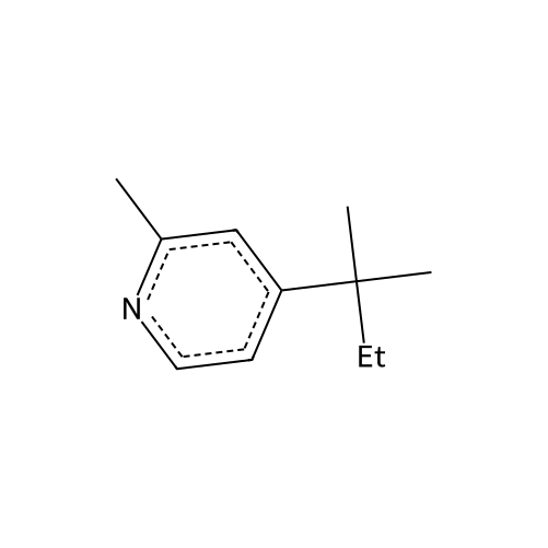 CCC(C)(C)c1ccnc(C)c1